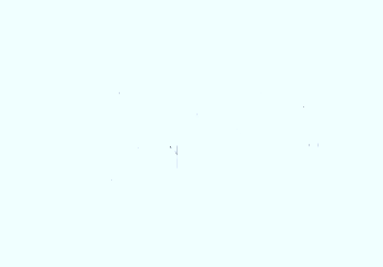 CCCC(=O)NCCCC(=O)O